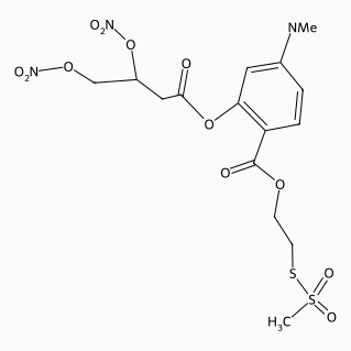 CNc1ccc(C(=O)OCCSS(C)(=O)=O)c(OC(=O)CC(CO[N+](=O)[O-])O[N+](=O)[O-])c1